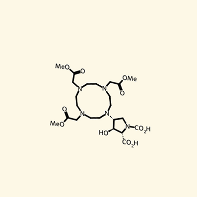 COC(=O)CN1CCN(CC(=O)OC)CCN([C@@H]2CN(C(=O)O)[C@H](C(=O)O)[C@H]2O)CCN(CC(=O)OC)CC1